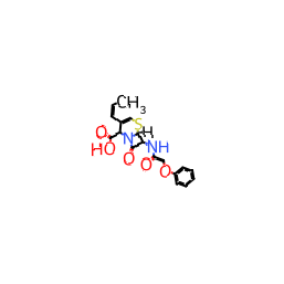 C/C=C\C1=CS[C@@H]2C(NC(=O)COc3ccccc3)C(=O)N2C1C(=O)O